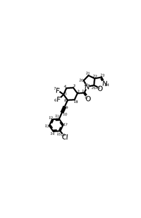 O=C(C1CCC(F)(F)C(C#Cc2cccc(Cl)c2)C1)N1CCC2C=NOC21